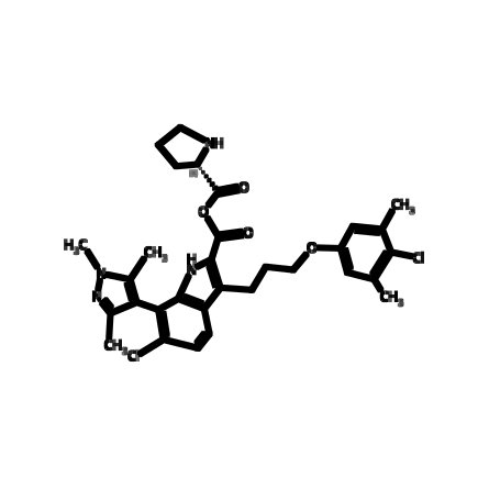 Cc1cc(OCCCc2c(C(=O)OC(=O)[C@@H]3CCCN3)[nH]c3c(-c4c(C)nn(C)c4C)c(Cl)ccc23)cc(C)c1Cl